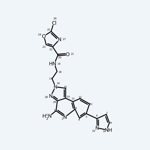 Nc1nc2cc(-c3cc[nH]n3)ccc2c2cn(CCNC(=O)c3coc(Cl)n3)nc12